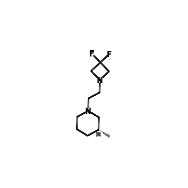 C[C@@H]1CCCN(CCN2CC(F)(F)C2)C1